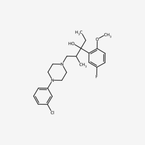 CCC(O)(c1cc(F)ccc1OC)C(C)CN1CCN(c2cccc(Cl)c2)CC1